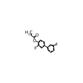 C=CC(=O)Oc1ccc(-c2cccc(F)c2)cc1F